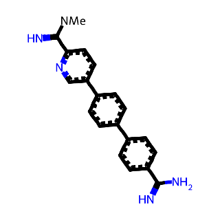 CNC(=N)c1ccc(-c2ccc(-c3ccc(C(=N)N)cc3)cc2)cn1